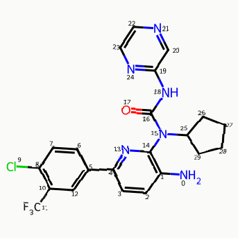 Nc1ccc(-c2ccc(Cl)c(C(F)(F)F)c2)nc1N(C(=O)Nc1cnccn1)C1CCCC1